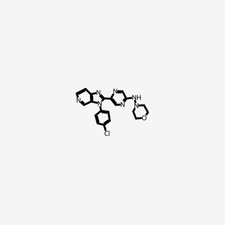 Clc1ccc(-n2c(-c3cnc(NN4CCOCC4)cn3)nc3ccncc32)cc1